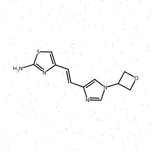 Nc1nc(/C=C/c2cn(C3COC3)cn2)cs1